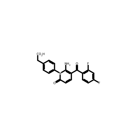 Nc1c(C(=O)c2ccc(F)cc2F)ccc(=O)n1-c1ccc(CC(=O)O)cc1